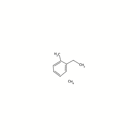 C.CCc1ccccc1C